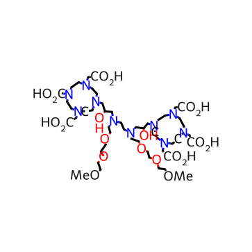 COCCOCCOCCN(CCN(CCOCCOCCOC)CC(O)CN1CCN(CC(=O)O)CCN(C(=O)O)CCN(CC(=O)O)CC1)CC(O)CN1CCN(CC(=O)O)CCN(CC(=O)O)CCN(CC(=O)O)CC1